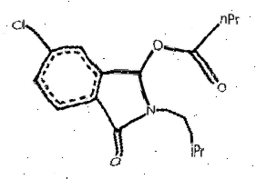 CCCC(=O)OC1c2cc(Cl)ccc2C(=O)N1CC(C)C